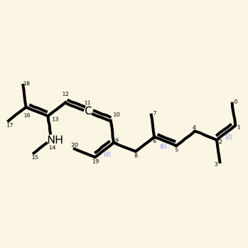 C/C=C(/C)C/C=C(\C)C/C(C=C=CC(NC)=C(C)C)=C/C